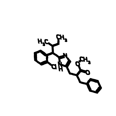 CCC(C)C(c1ncc(CC(Cc2ccccc2)C(=O)OC)[nH]1)c1ccccc1Cl